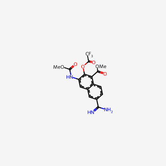 COC(=O)Nc1cc2cc(C(=N)N)ccc2c(C(=O)OC)c1OC(=O)C(F)(F)F